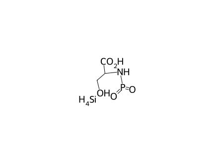 O=C(O)C(CO)NP(=O)=O.[SiH4]